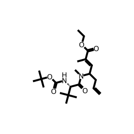 C=CCC(/C=C(\C)C(=O)OCC)N(C)C(=O)[C@@H](NC(=O)OC(C)(C)C)C(C)(C)C